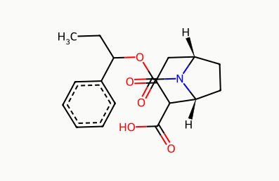 CCC(OC(=O)N1[C@H]2CC[C@@H]1C(C(=O)O)C(=O)C2)c1ccccc1